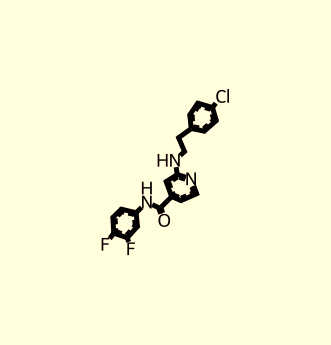 O=C(Nc1ccc(F)c(F)c1)c1ccnc(NCCc2ccc(Cl)cc2)c1